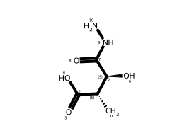 C[C@H](C(=O)O)[C@H](O)C(=O)NN